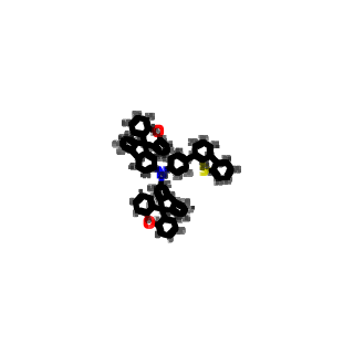 c1ccc2c(c1)Oc1ccccc1C21c2ccccc2-c2cc(N(c3ccc(-c4cccc5c4sc4ccccc45)cc3)c3ccc4c(c3)C3(c5ccccc5Oc5ccccc53)c3ccccc3-4)ccc21